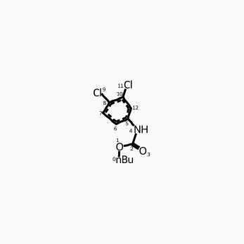 [CH2]CCCOC(=O)Nc1ccc(Cl)c(Cl)c1